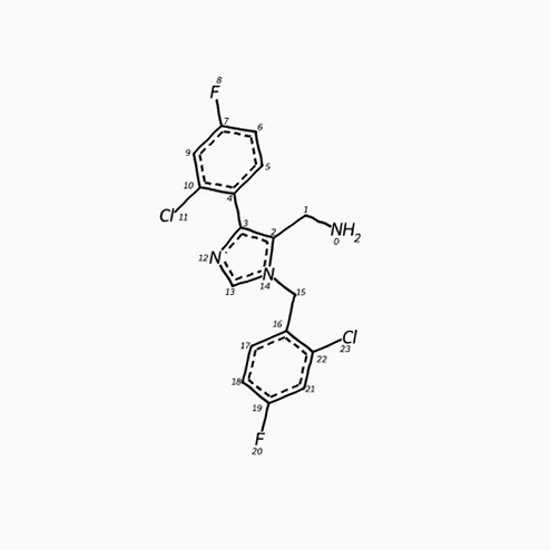 NCc1c(-c2ccc(F)cc2Cl)ncn1Cc1ccc(F)cc1Cl